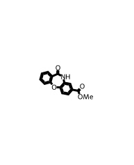 COC(=O)c1ccc2c(c1)NC(=O)c1ccccc1O2